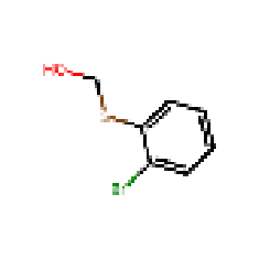 OCSc1ccccc1Br